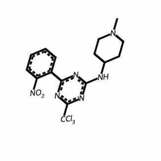 CN1CCC(Nc2nc(-c3ccccc3[N+](=O)[O-])nc(C(Cl)(Cl)Cl)n2)CC1